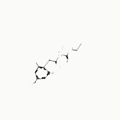 CCOC(=O)NC(=O)Cc1ccc(Br)cc1F.Cl